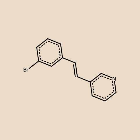 Brc1cccc(C=Cc2cccnc2)c1